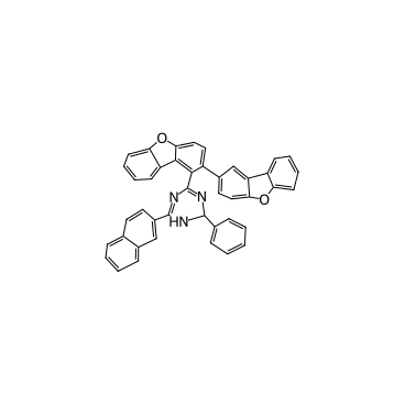 c1ccc(C2N=C(c3c(-c4ccc5oc6ccccc6c5c4)ccc4oc5ccccc5c34)N=C(c3ccc4ccccc4c3)N2)cc1